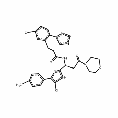 Cc1ccc(-c2nc([C@H](CC(=O)N3CCOCC3)NC(=O)CCc3cc(Cl)ccc3-n3cnnn3)[nH]c2Cl)cc1